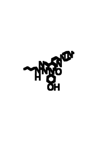 CCCCNc1ncc2c3ccc(N4CCN(C)CC4)nc3c(=O)n(C3CCC(O)CC3)c2n1